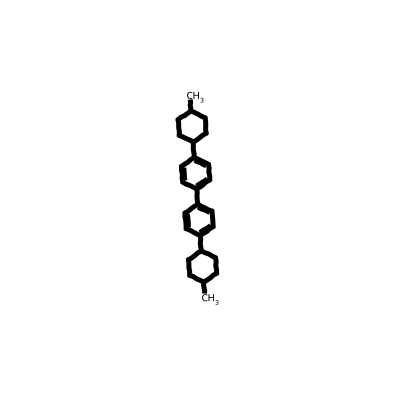 CC1CCC(c2ccc(-c3ccc(C4CCC(C)CC4)cc3)cc2)CC1